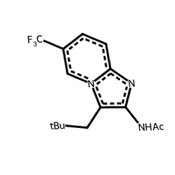 CC(=O)Nc1nc2ccc(C(F)(F)F)cn2c1CC(C)(C)C